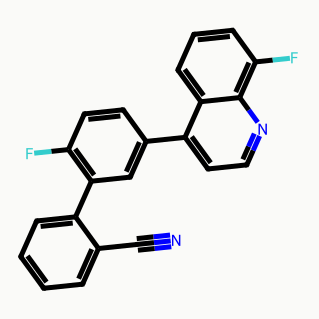 N#Cc1ccccc1-c1cc(-c2ccnc3c(F)cccc23)ccc1F